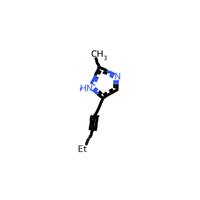 CCC#Cc1cnc(C)[nH]1